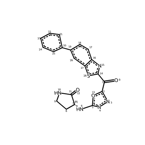 O=C(c1nnc(N[C@@H]2CCNC2=O)o1)c1nc2ccc(-c3ccccc3)cc2s1